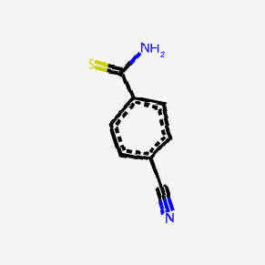 N#Cc1ccc(C(N)=S)cc1